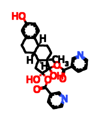 C[C@]12CC[C@@H]3c4ccc(O)cc4CC[C@H]3[C@@H]1C[C@](O)(OC(=O)c1cccnc1)[C@@]2(O)OC(=O)c1cccnc1